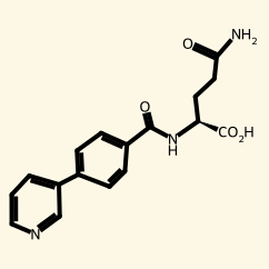 NC(=O)CC[C@H](NC(=O)c1ccc(-c2cccnc2)cc1)C(=O)O